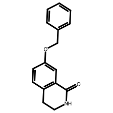 O=C1NCCc2ccc(OCc3ccccc3)cc21